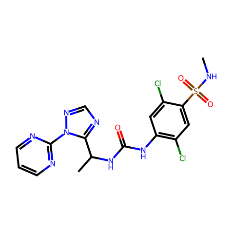 CNS(=O)(=O)c1cc(Cl)c(NC(=O)NC(C)c2ncnn2-c2ncccn2)cc1Cl